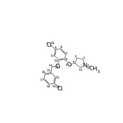 CN1CCC(Oc2ccc(Cl)cc2OCc2cccc(Cl)c2)C1